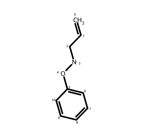 C=CC[N]Oc1ccccc1